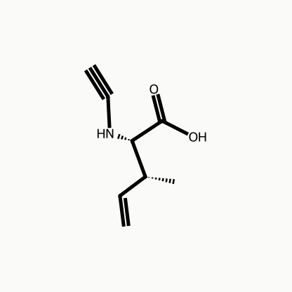 C#CN[C@H](C(=O)O)[C@H](C)C=C